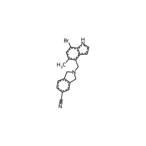 Cc1cc(Br)c2[nH]ccc2c1CN1Cc2ccc(C#N)cc2C1